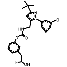 CC(C)(C)c1cc(CNC(=O)Nc2cccc(CC(O)F)c2)n(-c2cccc(Cl)c2)n1